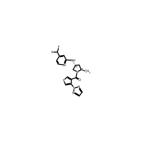 C[C@@H]1C[C@@H](Nc2cc(C(F)F)ccn2)CN1C(=O)c1cscc1-n1nccn1